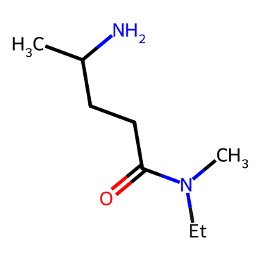 CCN(C)C(=O)CCC(C)N